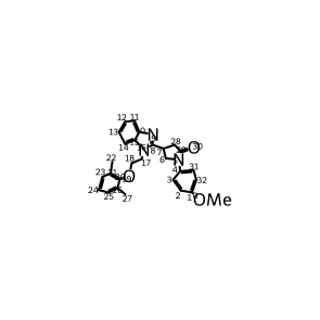 COc1ccc(N2CC(c3nc4ccccc4n3CCOc3c(C)cccc3C)CC2=O)cc1